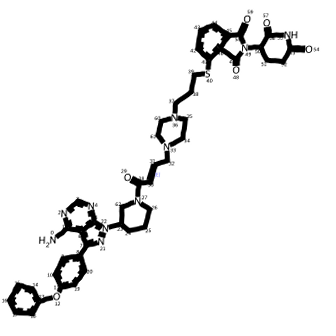 Nc1ncnc2c1c(-c1ccc(Oc3ccccc3)cc1)nn2C1CCCN(C(=O)/C=C/CN2CCN(CCCSc3cccc4c3C(=O)N(C3CCC(=O)NC3=O)C4=O)CC2)C1